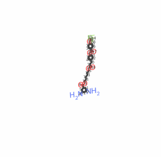 Nc1cc(N)cc(C(=O)OCCCCCCOC(=O)CCc2ccc(OC(=O)c3ccc(OC(F)(F)F)cc3)cc2)c1